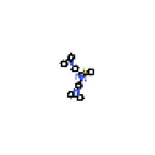 c1ccc2c(c1)sc1c(-c3ccc(-n4c5ccccc5c5ccccc54)cc3)nc(-c3ccc(-n4c5ccccc5c5ccccc54)cc3)nc12